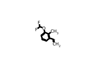 C=[C]c1cccc(OC(F)F)c1C